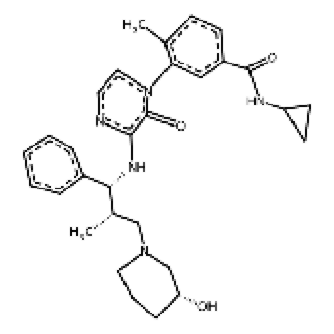 Cc1ccc(C(=O)NC2CC2)cc1-n1ccnc(N[C@@H](c2ccccc2)[C@@H](C)CN2CCC[C@@H](O)C2)c1=O